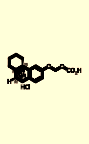 Cl.O=C(O)OCOc1ccc2c(c1)[C@@]13CCCC[C@H]1[C@@H](C2)NCC3